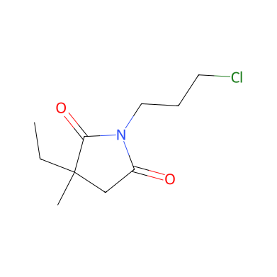 CCC1(C)CC(=O)N(CCCCl)C1=O